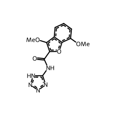 COc1c(C(=O)Nc2nnn[nH]2)oc2c(OC)cccc12